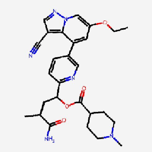 CCOc1cc(-c2ccc(C(CC(C)C(N)=O)OC(=O)C3CCN(C)CC3)nc2)c2c(C#N)cnn2c1